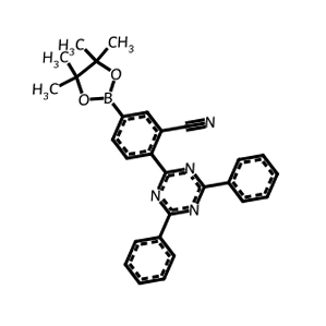 CC1(C)OB(c2ccc(-c3nc(-c4ccccc4)nc(-c4ccccc4)n3)c(C#N)c2)OC1(C)C